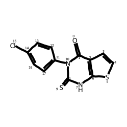 O=c1c2ccsc2[nH]c(=S)n1-c1ccc(Cl)cc1